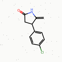 C=C1NC(=O)CC1c1ccc(Cl)cc1